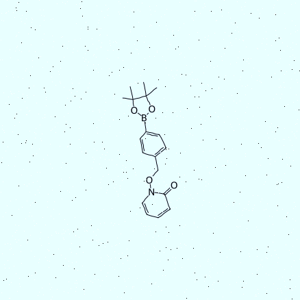 CC1(C)OB(c2ccc(COn3ccccc3=O)cc2)OC1(C)C